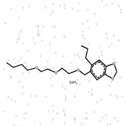 CCCCOCCOCCOCc1cc2c(cc1CCC)OCO2.[GaH3]